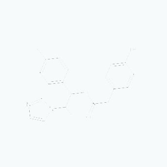 CC(C)(C)c1ccc(CC(=O)OC(c2ccc(Cl)cc2)C(Cl)n2ccnc2)cc1